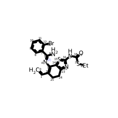 C=CC1=C(/N=C(\N)c2ccccc2Br)c2sc(NC(=O)SCC)nc2CC1